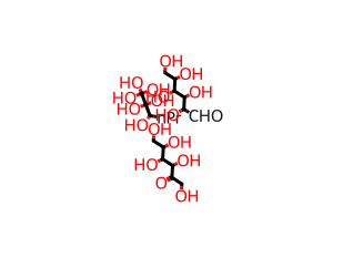 CCCC(O)C(O)(O)C(O)(O)O.O=C(CO)C(O)C(O)C(O)CO.O=CC(O)C(O)C(O)C(O)CO